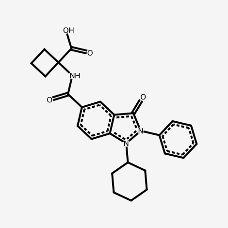 O=C(NC1(C(=O)O)CCC1)c1ccc2c(c1)c(=O)n(-c1ccccc1)n2C1CCCCC1